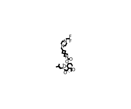 CO[C@H]1C([C@@]2(C)O[C@@H]2CC=C(C)C)[C@]2(CC[C@H]1OC(=O)N1CC3(CC(CN4CCN(CC(F)F)CC4)C3)C1)CO2